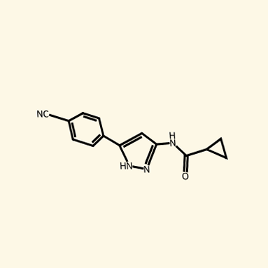 N#Cc1ccc(-c2cc(NC(=O)C3CC3)n[nH]2)cc1